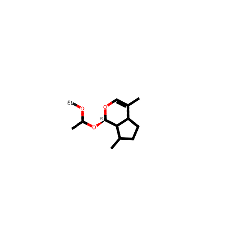 CCOC(C)O[C@H]1OC=C(C)C2CCC(C)C21